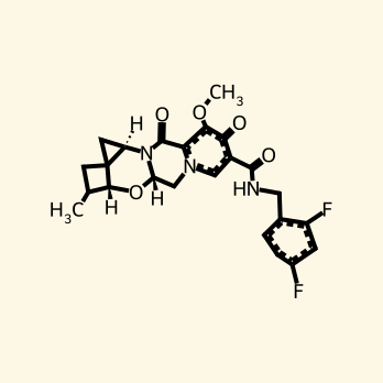 COc1c2n(cc(C(=O)NCc3ccc(F)cc3F)c1=O)C[C@@H]1O[C@@H]3C(C)CC34C[C@H]4N1C2=O